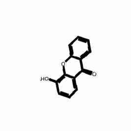 O=c1c2ccccc2oc2c(O)cccc12